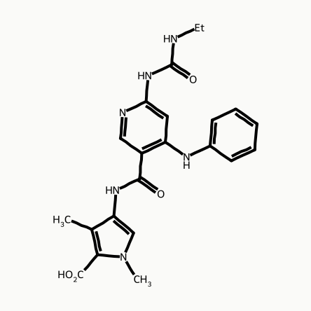 CCNC(=O)Nc1cc(Nc2ccccc2)c(C(=O)Nc2cn(C)c(C(=O)O)c2C)cn1